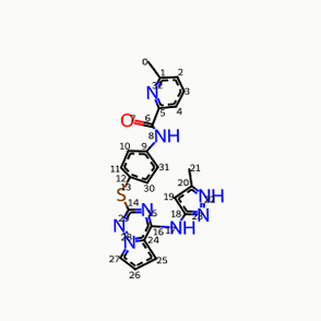 Cc1cccc(C(=O)Nc2ccc(Sc3nc(Nc4cc(C)[nH]n4)c4cccn4n3)cc2)n1